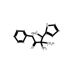 NC(C(=O)O)(C(=O)Cc1ccccc1)C(C=O)c1ccco1